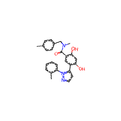 Cc1ccc(CN(C)C(=O)c2cc(-c3ccnn3-c3ccccc3C)c(O)cc2O)cc1